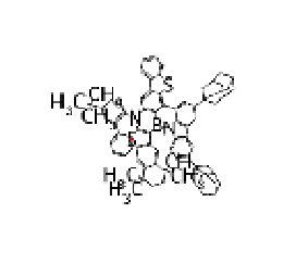 CC(C)(C)c1ccc(N2c3cc4c(sc5ccccc54)c4c3B(c3c2sc2cc5c(cc32)C(C)(C)CCC5(C)C)n2c3ccc(C56CC7CC(CC(C7)C5)C6)cc3c3cc(C56CC7CC(CC(C7)C5)C6)cc-4c32)c(-c2ccccc2)c1